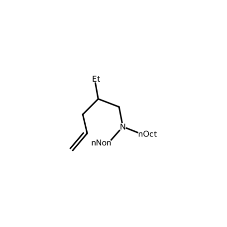 C=CCC(CC)CN(CCCCCCCC)CCCCCCCCC